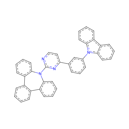 c1cc(-c2ccnc(N3c4ccccc4-c4ccccc4-c4ccccc43)n2)cc(-n2c3ccccc3c3ccccc32)c1